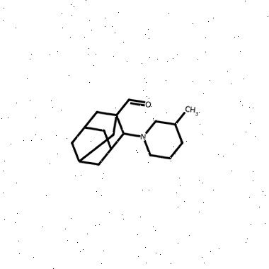 CC1CCCN(C2C3CC4CC(C3)CC2(C=O)C4)C1